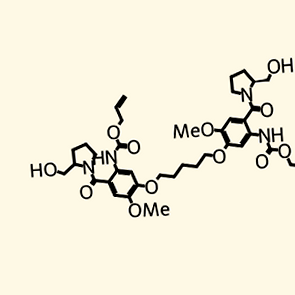 C=CCOC(=O)Nc1cc(OCCCCCOc2cc(NC(=O)OCC=C)c(C(=O)N3CCC[C@H]3CO)cc2OC)c(OC)cc1C(=O)N1CCCC1CO